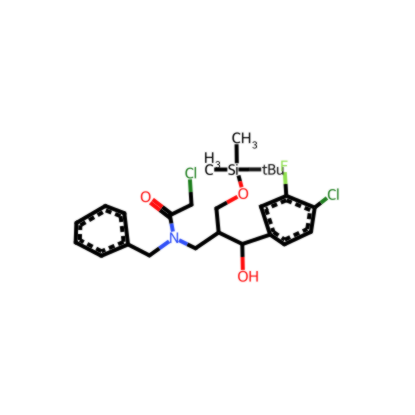 CC(C)(C)[Si](C)(C)OCC(CN(Cc1ccccc1)C(=O)CCl)C(O)c1ccc(Cl)c(F)c1